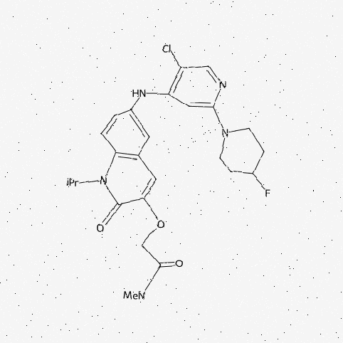 CNC(=O)COc1cc2cc(Nc3cc(N4CCC(F)CC4)ncc3Cl)ccc2n(C(C)C)c1=O